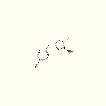 C[C@H]1CC(Cc2ccc(C(F)(F)F)cc2)=CN1C(C)(C)C